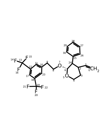 C=CC1CCO[C@H](OCCc2cc(C(F)(F)F)cc(C(F)(F)F)c2)C1c1ccccc1